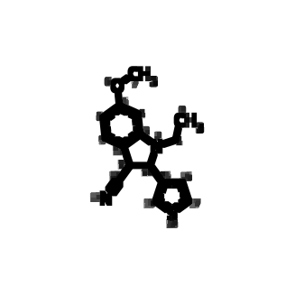 CCN1c2cc(OC)ccc2C(C#N)C1c1ccsc1